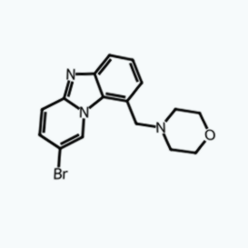 Brc1ccc2nc3cccc(CN4CCOCC4)c3n2c1